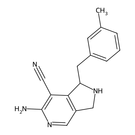 Cc1cccc(CC2NCc3cnc(N)c(C#N)c32)c1